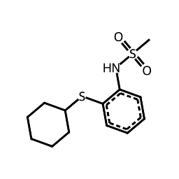 CS(=O)(=O)Nc1ccccc1SC1CCCCC1